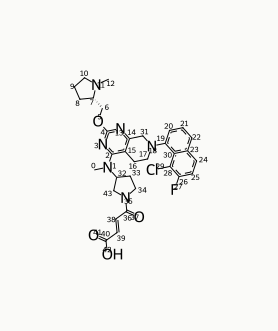 CN(c1nc(OC[C@@H]2CCCN2C)nc2c1CCN(c1cccc3ccc(F)c(Cl)c13)C2)C1CCN(C(=O)/C=C/C(=O)O)C1